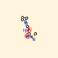 CN(C)CC[C@H](CSc1ccccc1)Nc1ccc(S(=O)(=O)NC(=O)c2ccc(N3CCN(Cc4ccccc4-c4cccc5ccccc45)CC3)cc2)cc1[N+](=O)[O-]